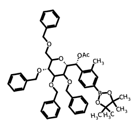 CC(=O)O[C@H](c1ccc(B2OC(C)(C)C(C)(C)O2)cc1C)[C@H]1OC(COCc2ccccc2)[C@@H](OCc2ccccc2)C(OCc2ccccc2)C1OCc1ccccc1